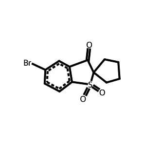 O=C1c2cc(Br)ccc2S(=O)(=O)C12CCCC2